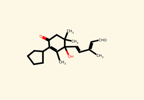 CC(C=CC1(O)C(C)=C(C2CCCC2)C(=O)CC1(C)C)=CC=O